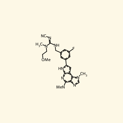 CNc1nc2[nH]c(-c3cc(F)cc(CN/C(=N/C#N)N(C)CCOC)c3)cc2c2c1ncn2C